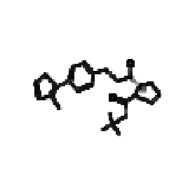 CC1=C(c2ccc(CCC(=O)[C@@H]3CCCC3C(=O)CC(C)(C)C)cc2)CC=C1